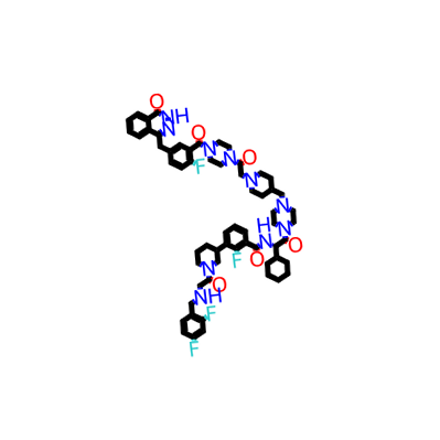 O=C(N[C@@H](C(=O)N1CCN(CC2CCN(CC(=O)N3CCN(C(=O)c4cc(Cc5n[nH]c(=O)c6ccccc56)ccc4F)CC3)CC2)CC1)C1CCCCC1)c1cccc(C2CCCN(C(=O)CNCc3ccc(F)cc3F)C2)c1F